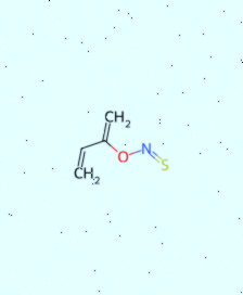 C=CC(=C)ON=S